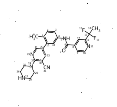 Cc1ccc(NC(=O)c2ccnc(C(C)(F)F)c2)cc1-c1cnc(N2CCNCC2)c(C#N)c1